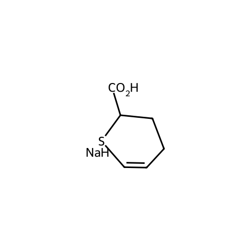 O=C(O)C1CCC=CS1.[NaH]